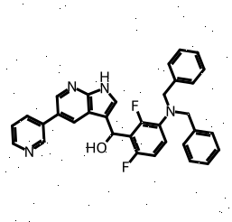 OC(c1c(F)ccc(N(Cc2ccccc2)Cc2ccccc2)c1F)c1c[nH]c2ncc(-c3cccnc3)cc12